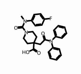 CN(C(=O)N1CCC(CC(=O)N(c2ccccc2)c2ccccc2)(C(=O)O)CC1)c1ccc(F)cc1